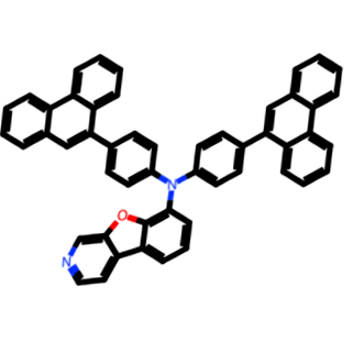 c1ccc2c(c1)cc(-c1ccc(N(c3ccc(-c4cc5ccccc5c5ccccc45)cc3)c3cccc4c3oc3cnccc34)cc1)c1ccccc12